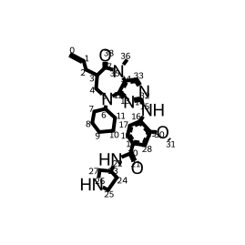 C=CCC1CN(C2CCCCC2)c2nc(Nc3ccc(C(=O)NC4CCNC4)cc3OC)ncc2N(C)C1=O